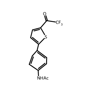 CC(=O)Nc1ccc(-c2ccc(C(=O)C(F)(F)F)s2)cc1